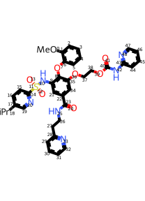 COc1ccccc1Oc1c(NS(=O)(=O)c2ccc(C(C)C)cn2)cc(C(=O)NCCc2ccccn2)cc1OCCOC(=O)Nc1ccccn1